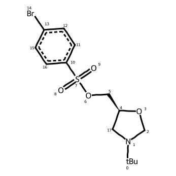 CC(C)(C)N1CO[C@H](COS(=O)(=O)c2ccc(Br)cc2)C1